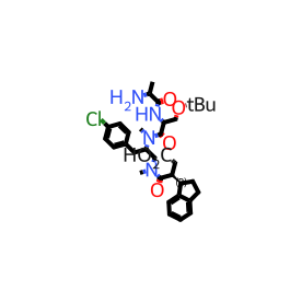 CC(N)C(=O)NC(COC(C)(C)C)C(=O)N(C)C(Cc1ccc(Cl)cc1)CN(C)C(=O)C(CC(=O)O)[C@H]1CCc2ccccc21